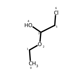 CCOC(O)CCl